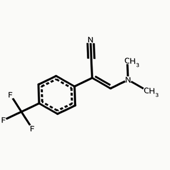 CN(C)C=C(C#N)c1ccc(C(F)(F)F)cc1